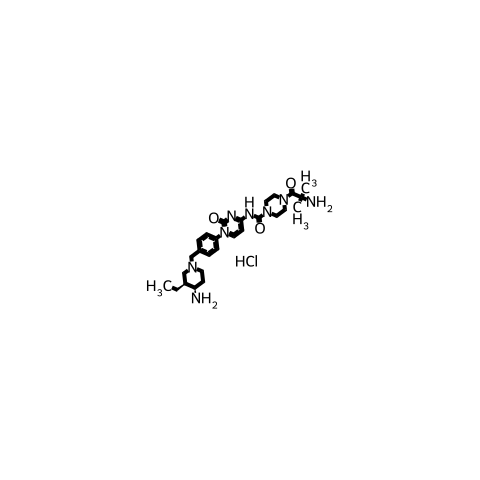 CC[C@H]1CN(Cc2ccc(-n3ccc(NC(=O)N4CCN(C(=O)C(C)(C)N)CC4)nc3=O)cc2)CC[C@@H]1N.Cl